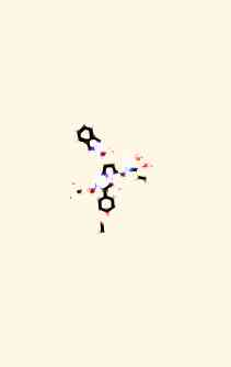 CCCOC1CCC([C@H](NC(=O)OC(C)(C)C)C(=O)N2C[C@H](OC(=O)N3Cc4ccccc4C3)C[C@H]2C(=O)N[C@@H](CCC)B(O)O)CC1